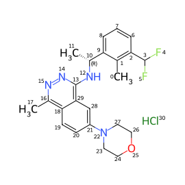 Cc1c(C(F)F)cccc1[C@@H](C)Nc1nnc(C)c2ccc(N3CCOCC3)cc12.Cl